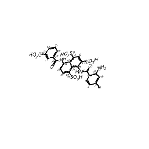 Cc1ccc(C(=O)Nc2c(S(=O)(=O)O)cc(S(=O)(=O)O)c3c(NC(=O)c4cccc(C(=O)O)c4)ccc(S(=O)(=O)O)c23)c(N)c1